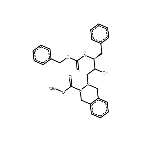 CC(C)(C)OC(=O)N1Cc2ccccc2CN1CC(O)[C@H](Cc1ccccc1)NC(=O)OCc1ccccc1